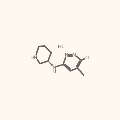 Cc1cc(N[C@@H]2CCCNC2)nnc1Cl.Cl